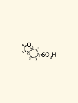 O=S(=O)(O)c1ccc2ccoc2c1